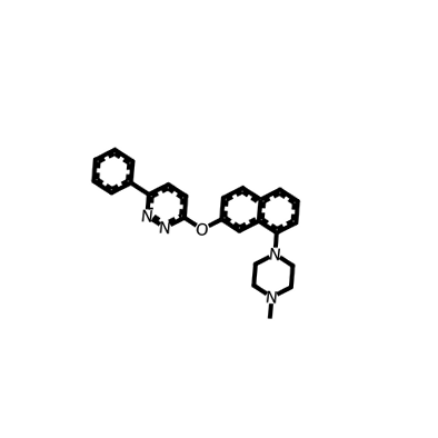 CN1CCN(c2cccc3ccc(Oc4ccc(-c5ccccc5)nn4)cc23)CC1